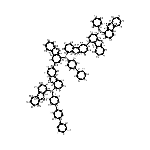 c1ccc(-c2ccc(-c3ccc(N(c4cccc5c4oc4ccc(-c6cc(N(c7ccc(-c8ccccc8)cc7)c7cccc8c7oc7ccc(-c9ccc(N(c%10ccccc%10)c%10cccc%11c%10oc%10ccccc%10%11)c%10sc%11ccccc%11c9%10)cc78)c7sc8ccccc8c7c6)cc45)c4cccc5c4sc4ccccc45)cc3)cc2)cc1